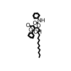 CCCCCCCCCCCCC(OC(=O)Nc1ccccc1)C1=CC(=O)OC1(O)c1ccccc1